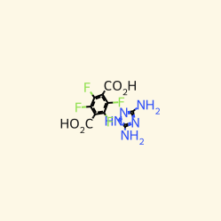 Nc1n[nH]c(N)n1.O=C(O)c1c(F)c(F)c(C(=O)O)c(F)c1F